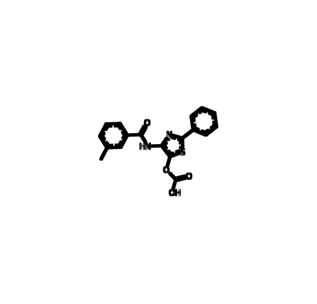 Cc1cccc(C(=O)Nc2nc(-c3ccccc3)sc2OC(=O)O)c1